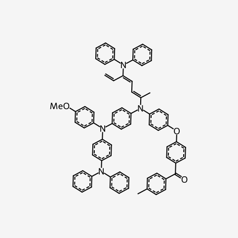 C=C/C(=C\C=C(/C)N(c1ccc(Oc2ccc(C(=O)c3ccc(C)cc3)cc2)cc1)c1ccc(N(c2ccc(OC)cc2)c2ccc(N(c3ccccc3)c3ccccc3)cc2)cc1)N(c1ccccc1)c1ccccc1